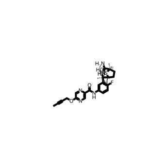 CC#CCOc1cnc(C(=O)Nc2ccc(F)c([C@@]3(C)N=C(N)[C@@]4(C)CC[C@@H]3S4(O)O)c2)cn1